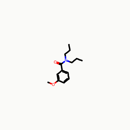 CCCN(CCC)C(=O)c1cccc(OC)c1